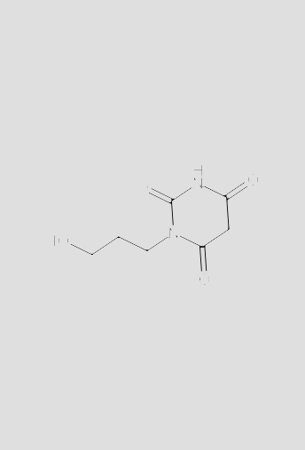 O=C1CC(=O)N(CCCO)C(=O)N1